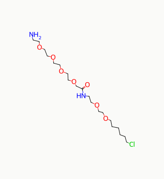 NCCOCCOCCOCCOCC(=O)NCCOCCOCCCCCCCl